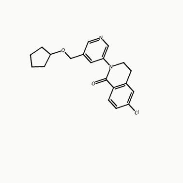 O=C1c2ccc(Cl)cc2CCN1c1cncc(COC2CCCC2)c1